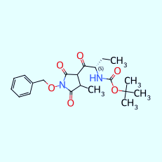 CC[C@H](NC(=O)OC(C)(C)C)C(=O)C1C(=O)N(OCc2ccccc2)C(=O)C1C